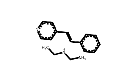 C(=Cc1ccncc1)c1ccccc1.CCNCC